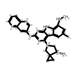 CNc1cc(F)cc2c1[nH]c1nc(Oc3cnc4cccnc4c3)nc(N3C[C@H](N)C4(CC4)C3)c12